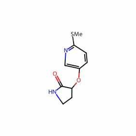 CSc1ccc(OC2CCNC2=O)cn1